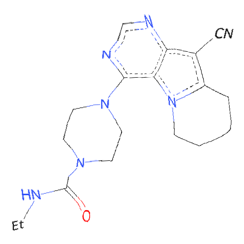 CCNC(=O)N1CCN(c2ncnc3c(C#N)c4n(c23)CCCC4)CC1